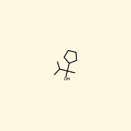 CC(C)C(C)(O)C1CCCC1